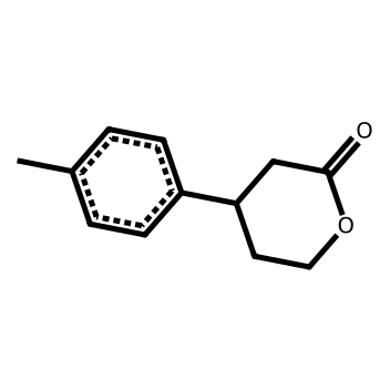 Cc1ccc(C2CCOC(=O)C2)cc1